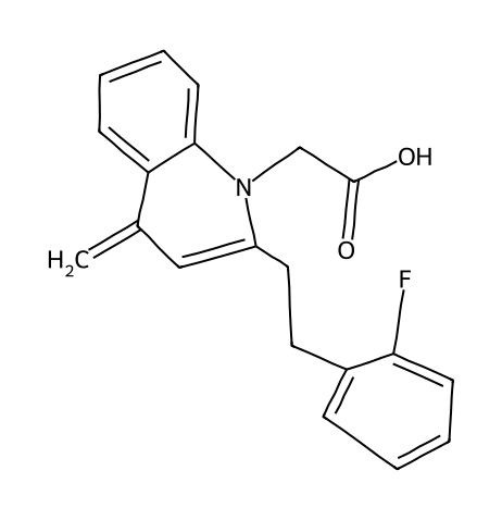 C=C1C=C(CCc2ccccc2F)N(CC(=O)O)c2ccccc21